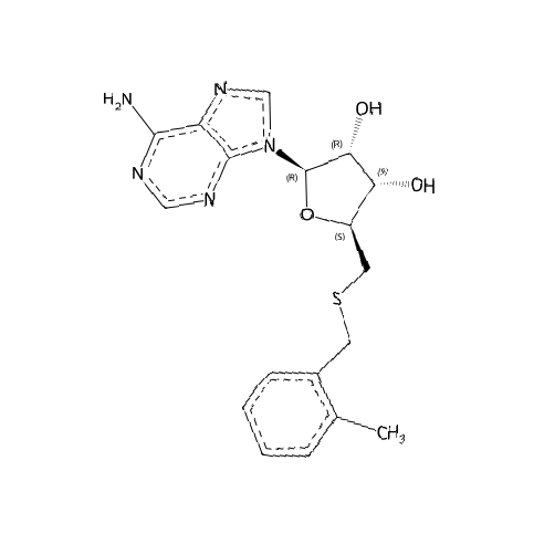 Cc1ccccc1CSC[C@H]1O[C@@H](n2cnc3c(N)ncnc32)[C@H](O)[C@@H]1O